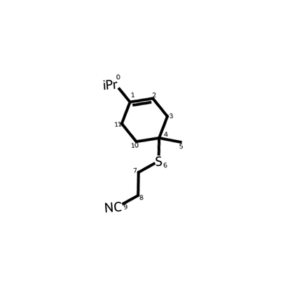 CC(C)C1=CCC(C)(SCCC#N)CC1